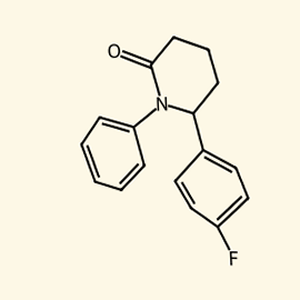 O=C1CCCC(c2ccc(F)cc2)N1c1ccccc1